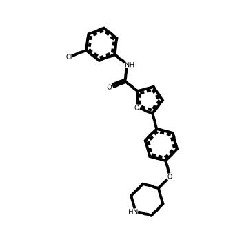 O=C(Nc1cccc(Cl)c1)c1ccc(-c2ccc(OC3CCNCC3)cc2)o1